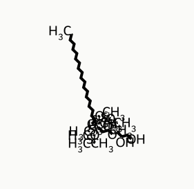 CCCCCCCCCCCCCCCCCCC[Si](C)(O[Si](C)(C)O[Si](C)(C)C)O[Si](C)(CCCOCC(O)CO)O[Si](C)(C)C